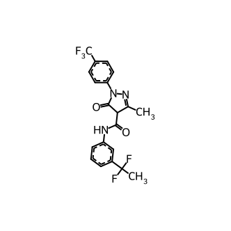 CC1=NN(c2ccc(C(F)(F)F)cc2)C(=O)C1C(=O)Nc1cccc(C(C)(F)F)c1